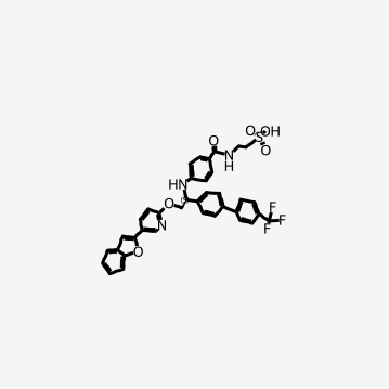 O=C(NCCS(=O)(=O)O)c1ccc(N[C@H](COc2ccc(-c3cc4ccccc4o3)cn2)c2ccc(-c3ccc(C(F)(F)F)cc3)cc2)cc1